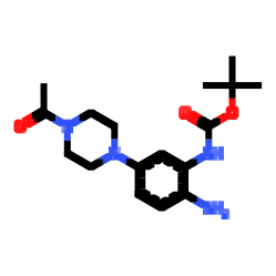 CC(=O)N1CCN(c2ccc(N)c(NC(=O)OC(C)(C)C)c2)CC1